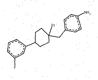 CCC1(Cc2ccc(N)cc2)CCC(c2cccc(F)c2)CC1